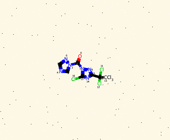 O=C(n1cncn1)n1nc(C(Cl)(Cl)C(Cl)(Cl)Cl)nc1Cl